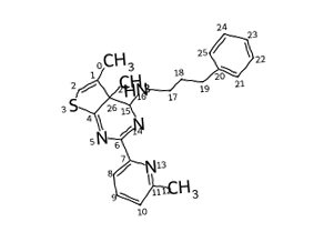 CC1=CSC2=NC(c3cccc(C)n3)=NC(NCCCc3ccccc3)C12C